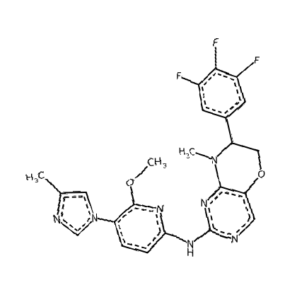 COc1nc(Nc2ncc3c(n2)N(C)C(c2cc(F)c(F)c(F)c2)CO3)ccc1-n1cnc(C)c1